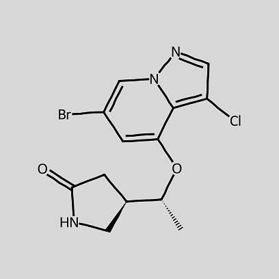 C[C@@H](Oc1cc(Br)cn2ncc(Cl)c12)[C@H]1CNC(=O)C1